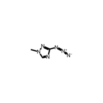 Cn1cnc(N=[N+]=[N-])n1